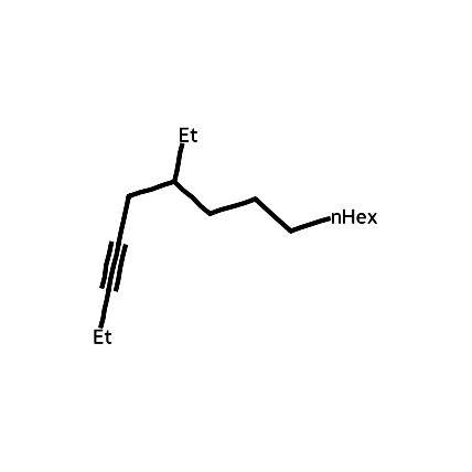 [CH2]CC#CCC(CC)CCCCCCCC[CH2]